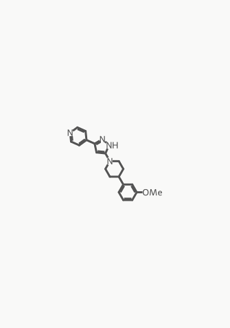 COc1cccc(C2CCN(c3cc(-c4ccncc4)n[nH]3)CC2)c1